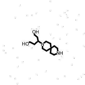 OCCC(CCO)N1CCC2(CCNCC2)CC1